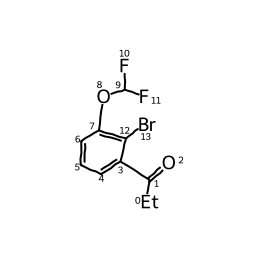 CCC(=O)c1cccc(OC(F)F)c1Br